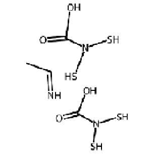 CC=N.O=C(O)N(S)S.O=C(O)N(S)S